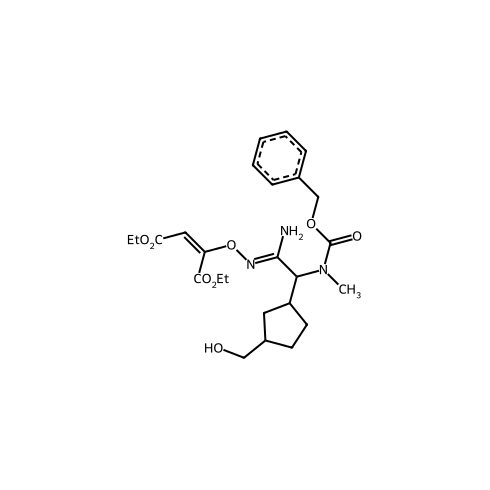 CCOC(=O)/C=C(/O/N=C(\N)C(C1CCC(CO)C1)N(C)C(=O)OCc1ccccc1)C(=O)OCC